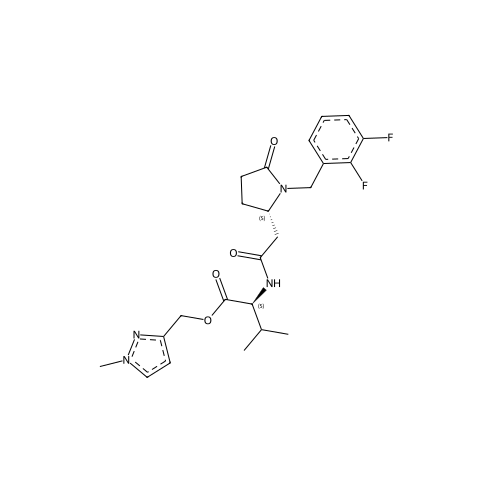 CC(C)[C@H](NC(=O)C[C@@H]1CCC(=O)N1Cc1cccc(F)c1F)C(=O)OCc1ccn(C)n1